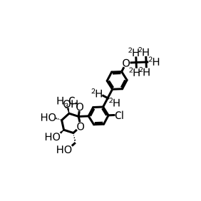 [2H]C([2H])(c1ccc(OC([2H])([2H])C([2H])([2H])[2H])cc1)c1cc(C2(OC)O[C@H](CO)[C@@H](O)[C@H](O)[C@H]2O)ccc1Cl